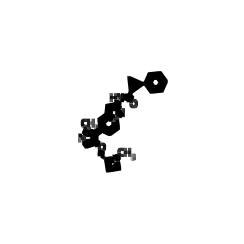 CN1CC[C@@H]1COc1cnn(C)c1-c1ccn2nc(NC(=O)[C@H]3C[C@H]3c3ccccc3)cc2c1